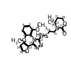 COc1cccc(OC)c1-n1c(NSCCN2C(=O)OCC[C@H]2C)nnc1-c1ccco1